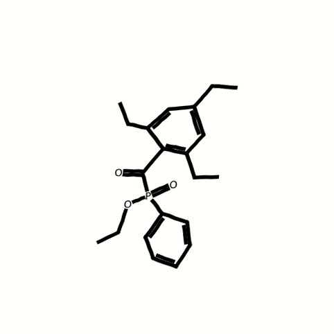 CCOP(=O)(C(=O)c1c(CC)cc(CC)cc1CC)c1ccccc1